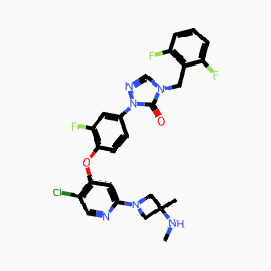 CNC1(C)CN(c2cc(Oc3ccc(-n4ncn(Cc5c(F)cccc5F)c4=O)cc3F)c(Cl)cn2)C1